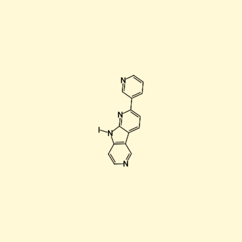 In1c2ccncc2c2ccc(-c3cccnc3)nc21